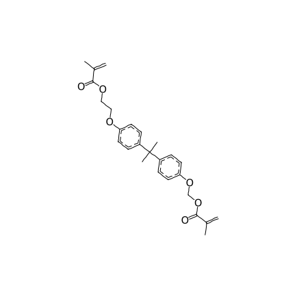 C=C(C)C(=O)OCCOc1ccc(C(C)(C)c2ccc(OCOC(=O)C(=C)C)cc2)cc1